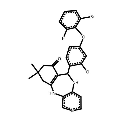 CC1(C)CC(=O)C2=C(C1)Nc1cnccc1NC2c1ccc(Oc2c(F)cccc2Br)cc1Cl